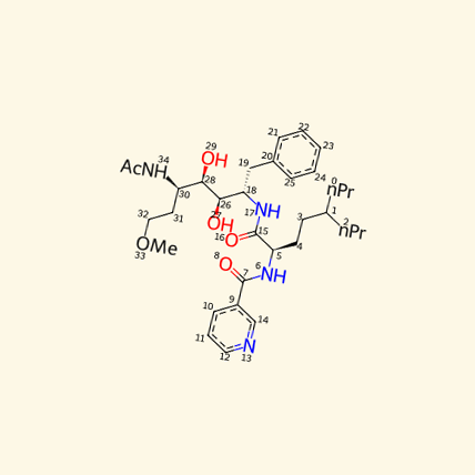 CCCC(CCC)CC[C@@H](NC(=O)c1cccnc1)C(=O)N[C@@H](Cc1ccccc1)[C@@H](O)[C@H](O)[C@@H](CCOC)NC(C)=O